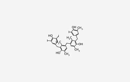 Cc1cc(Cc2c(C)c(Cc3cc(C)c(O)c(Cc4cc(I)c(O)c(I)c4)c3C)cc(C)c2O)cc(I)c1O